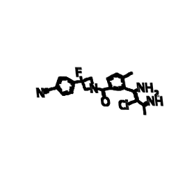 CC(=N)/C(Cl)=C(\N)c1cc(C(=O)N2CC(F)(c3ccc(C#N)cc3)C2)ccc1C